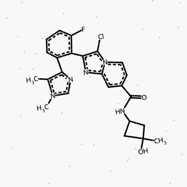 Cc1c(-c2cccc(F)c2-c2nc3cc(C(=O)NC4CC(C)(O)C4)ccn3c2Cl)ncn1C